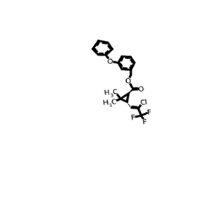 CC1(C)[C@@H](C=C(Cl)C(F)(F)F)[C@@H]1C(=O)OCc1cccc(Oc2ccccc2)c1